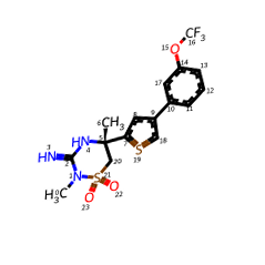 CN1C(=N)N[C@](C)(c2cc(-c3cccc(OC(F)(F)F)c3)cs2)CS1(=O)=O